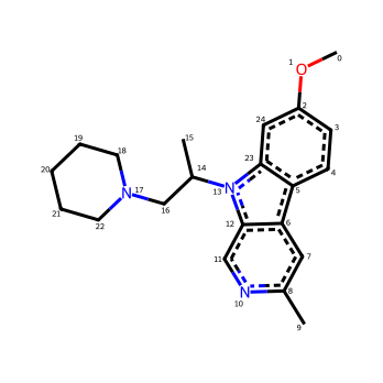 COc1ccc2c3cc(C)ncc3n(C(C)CN3CCCCC3)c2c1